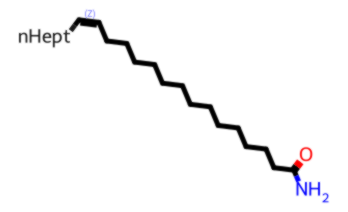 CCCCCCC/C=C\CCCCCCCCCCCCCC(N)=O